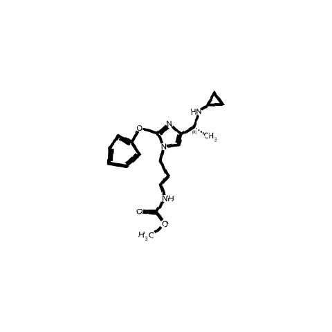 COC(=O)NCCCn1cc([C@@H](C)NC2CC2)nc1Oc1ccccc1